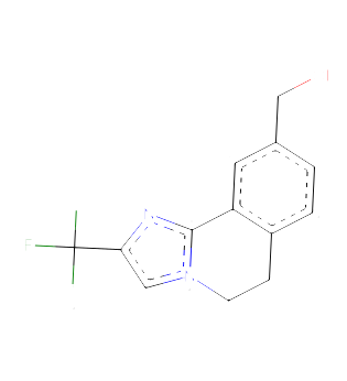 OCc1ccc2c(c1)-c1nc(C(F)(F)F)cn1CC2